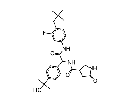 CC(C)(C)Cc1ccc(NC(=O)C(NC(=O)C2CNC(=O)C2)c2ccc(C(C)(C)O)cc2)cc1F